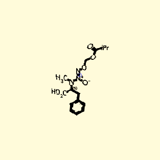 CC(C)C(=O)OCO/N=[N+](\[O-])N(C)[C@@H](Cc1ccccc1)C(=O)O